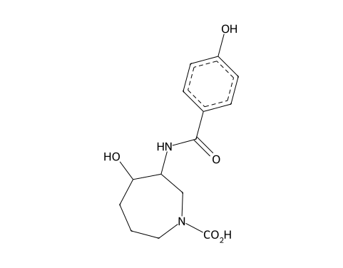 O=C(NC1CN(C(=O)O)CCCC1O)c1ccc(O)cc1